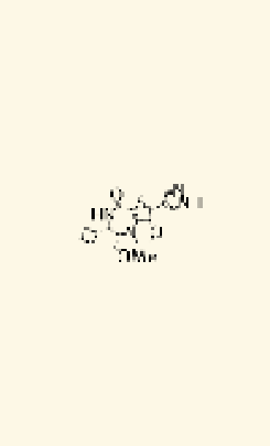 COC[C@@H]1[C@H](C2CCC2)NC(=O)c2sc(-c3cn[nH]c3)c3c2N1CCO3